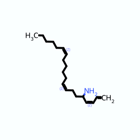 C=C/C=C\C(N)CC/C=C\CCCC/C=C\CCCCC